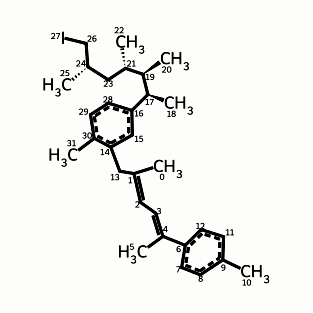 C/C(=C\C=C(/C)c1ccc(C)cc1)Cc1cc([C@H](C)[C@H](C)[C@@H](C)C[C@H](C)CI)ccc1C